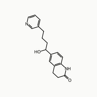 O=C1CCc2cc(C(O)CCCc3cccnc3)ccc2N1